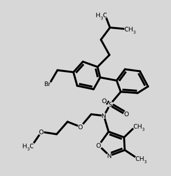 COCCOCN(c1onc(C)c1C)S(=O)(=O)c1ccccc1-c1ccc(CBr)cc1CCC(C)C